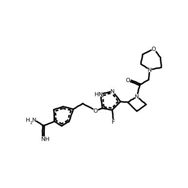 N=C(N)c1ccc(COc2[nH]nc(C3CCN3C(=O)CN3CCOCC3)c2F)cc1